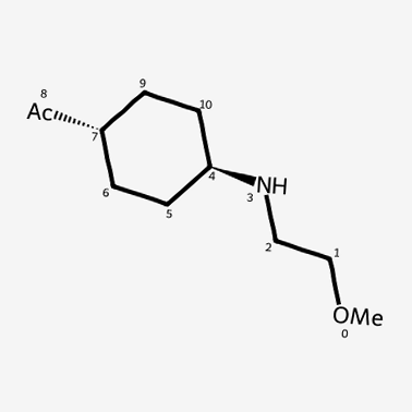 COCCN[C@H]1CC[C@H](C(C)=O)CC1